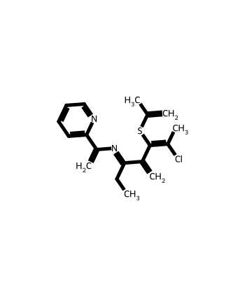 C=C(C)S/C(C(=C)/C(CC)=N/C(=C)c1ccccn1)=C(\C)Cl